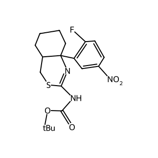 CC(C)(C)OC(=O)NC1=NC2(c3cc([N+](=O)[O-])ccc3F)CCCCC2CS1